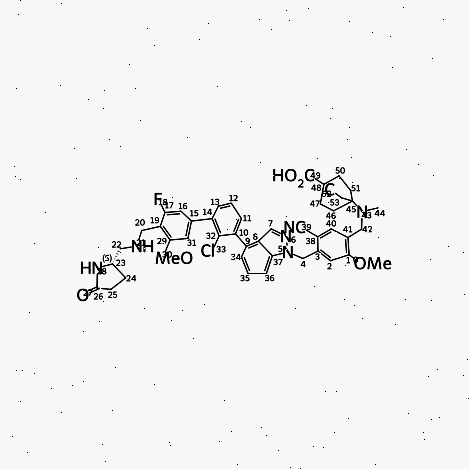 COc1cc(Cn2ncc3c(-c4cccc(-c5cc(F)c(CNC[C@@H]6CCC(=O)N6)c(OC)c5)c4Cl)cccc32)c(C#N)cc1CN(C)C12CCC(C(=O)O)(CC1)CC2